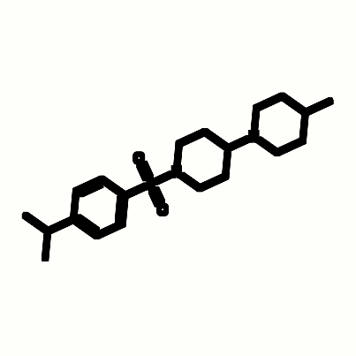 CC1CCN(C2CCN(S(=O)(=O)c3ccc(C(C)C)cc3)CC2)CC1